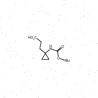 CC(C)(C)OC(=O)NC1(CCC(=O)O)CC1